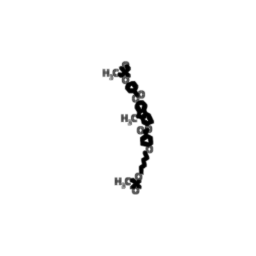 CCC1(COCCCCCCOc2ccc(C(=O)Oc3ccc4c(c3)C(C)c3cc(OC(=O)c5ccc(OCC6(CC)COC6)cc5)ccc3-4)cc2)COC1